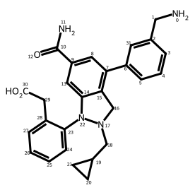 NCc1cccc(-c2cc(C(N)=O)cc3c2CN(CC2CC2)N3c2ccccc2CC(=O)O)c1